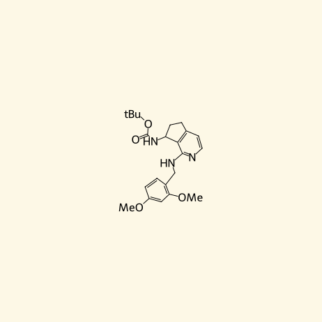 COc1ccc(CNc2nccc3c2C(NC(=O)OC(C)(C)C)CC3)c(OC)c1